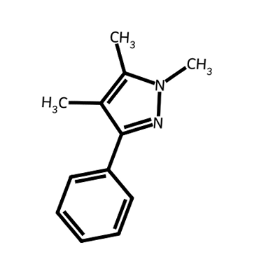 Cc1c(-c2ccccc2)nn(C)c1C